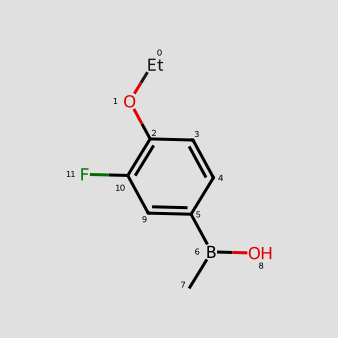 CCOc1ccc(B(C)O)cc1F